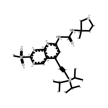 CC(C)[Si](C#Cc1cc(NC(=O)NC2(C)CCOC2)nc2nc(S(C)(=O)=O)ncc12)(C(C)C)C(C)C